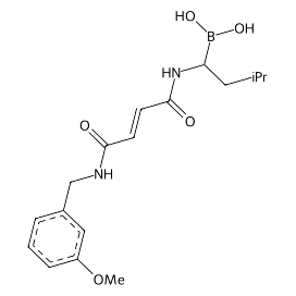 COc1cccc(CNC(=O)C=CC(=O)NC(CC(C)C)B(O)O)c1